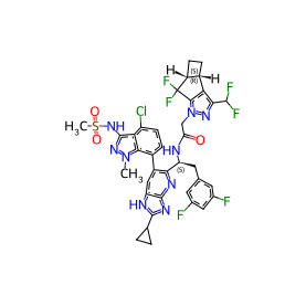 Cn1nc(NS(C)(=O)=O)c2c(Cl)ccc(-c3cc4[nH]c(C5CC5)nc4nc3[C@H](Cc3cc(F)cc(F)c3)NC(=O)Cn3nc(C(F)F)c4c3C(F)(F)[C@@H]3CC[C@H]43)c21